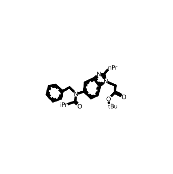 CCCc1nc2cc(N(Cc3ccccc3)C(=O)C(C)C)ccc2n1CC(=O)OC(C)(C)C